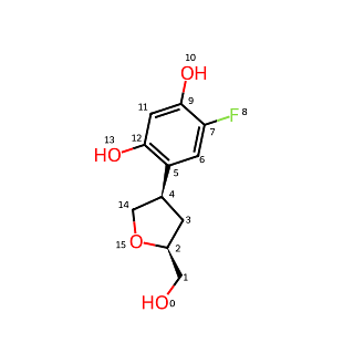 OC[C@@H]1C[C@H](c2cc(F)c(O)cc2O)CO1